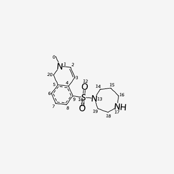 CN1C=Cc2c(cccc2S(=O)(=O)N2CCCNCC2)C1